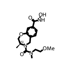 COCCN(C)C(=O)N1Cc2ccc(C(=O)NO)cc2OC[C@@H]1C